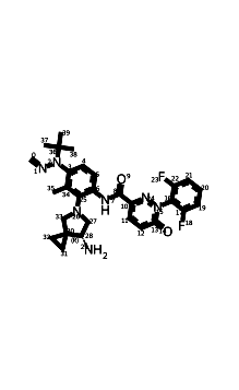 C=NN(c1ccc(NC(=O)c2ccc(=O)n(-c3c(F)cccc3F)n2)c(N2C[C@H](N)C3(CC3)C2)c1C)C(C)(C)C